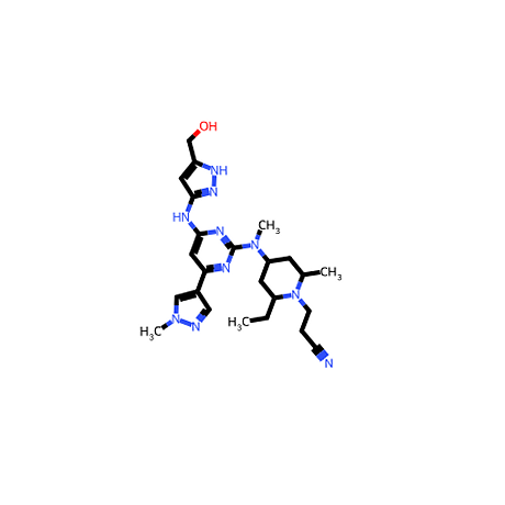 CCC1CC(N(C)c2nc(Nc3cc(CO)[nH]n3)cc(-c3cnn(C)c3)n2)CC(C)N1CCC#N